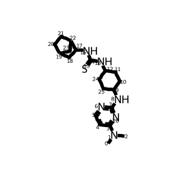 CN(C)c1ccnc(NC2CCC(NC(=S)NC3CC4CCC3C4)CC2)n1